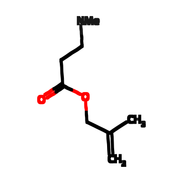 C=C(C)COC(=O)CCNC